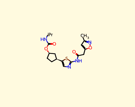 Cc1cc(CC(=O)Nc2ncc([C@H]3CC[C@@H](OC(=O)NC(C)C)C3)s2)on1